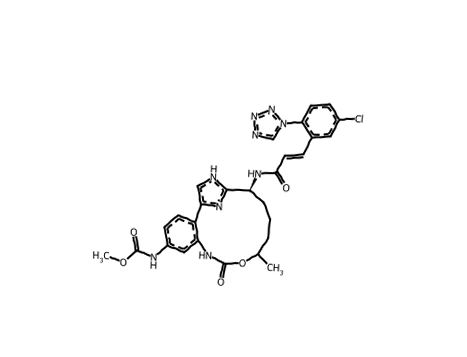 COC(=O)Nc1ccc2c(c1)NC(=O)OC(C)CCC[C@H](NC(=O)/C=C/c1cc(Cl)ccc1-n1cnnn1)c1nc-2c[nH]1